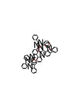 N#Cc1cccc(-n2c3ccccc3c3c2ccc2c4ccccc4n(-c4ccccc4)c23)c1-c1cc(-c2nc(-c3ccccc3)nc(-c3ccccc3)n2)ccc1-n1c2ccccc2c2c1ccc1c3ccccc3n(-c3ccccc3)c12